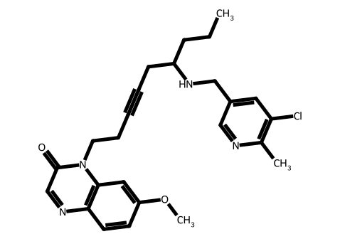 CCCC(CC#CCCn1c(=O)cnc2ccc(OC)cc21)NCc1cnc(C)c(Cl)c1